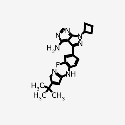 CC(C)(C)C1=CC(Nc2ccc(-c3nn(C4CCC4)c4ncnc(N)c34)cc2F)=NC1